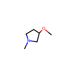 COC1C[CH]N(C)C1